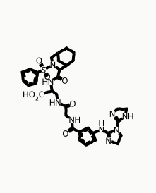 O=C(CNC(=O)c1cccc(NC2=NCCN2C2=NCCN2)c1)NCC(NC(=O)C1C2CCCC(C2)CN1S(=O)(=O)c1ccccc1)C(=O)O